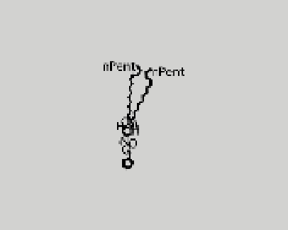 CCCCC/C=C\C/C=C\CCCCCCCCC1(CCCCCCCC/C=C\C/C=C\CCCCC)O[C@H]2C[C@@H](N(C)C(=O)OCc3ccccc3)C[C@H]2O1